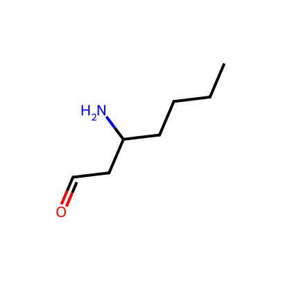 CCCCC(N)CC=O